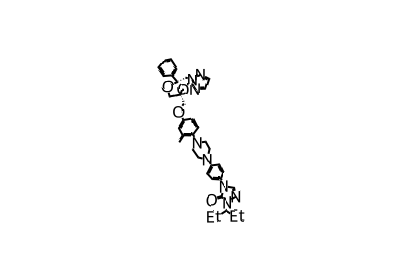 CCC(CC)n1ncn(-c2ccc(N3CCN(c4ccc(OC[C@@H]5CO[C@@](Cn6nccn6)(c6ccccc6)O5)cc4C)CC3)cc2)c1=O